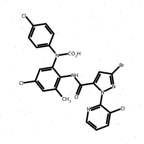 Cc1cc(Cl)cc(N(C(=O)O)c2ccc(Cl)cc2)c1NC(=O)c1cc(Br)nn1-c1ncccc1Cl